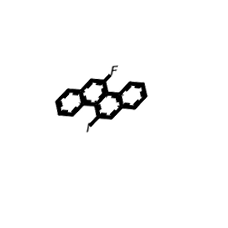 Fc1cc2ccccc2c2c(I)cc3ccccc3c12